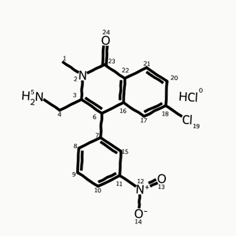 Cl.Cn1c(CN)c(-c2cccc([N+](=O)[O-])c2)c2cc(Cl)ccc2c1=O